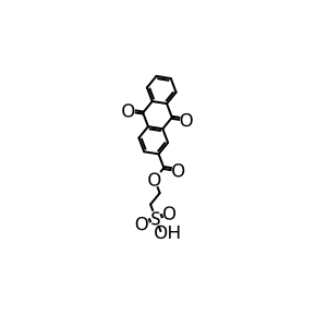 O=C(OCCS(=O)(=O)O)c1ccc2c(c1)C(=O)c1ccccc1C2=O